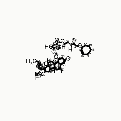 CCC(=O)O[C@]1(C(=O)SCF)[C@H](C)C[C@H]2[C@@H]3C[C@H](F)C4=CC(=O)C=C(OCOP(=O)(O)OP(=O)(O)OCCNC(=O)COC5C#CCCCCC5)[C@@]4(C)[C@@]3(F)CC[C@@]21C